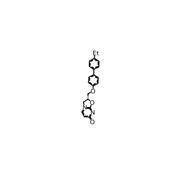 CCc1ccc(-c2ccc(OC[C@@H]3Cn4ccc(=O)nc4O3)cc2)cc1